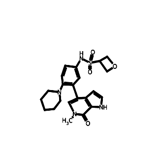 Cn1cc(-c2cc(NS(=O)(=O)C3COC3)ccc2N2CCCCC2)c2cc[nH]c2c1=O